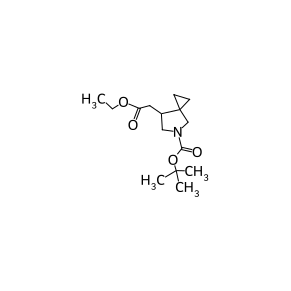 CCOC(=O)CC1CN(C(=O)OC(C)(C)C)CC12CC2